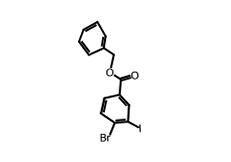 O=C(OCc1ccccc1)c1ccc(Br)c(I)c1